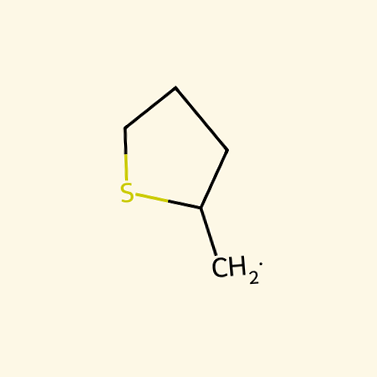 [CH2]C1CCCS1